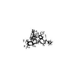 Cc1cc2c(cc1C(F)(F)F)N(Cc1nccs1)CCC[C@@H]2N(Cc1cc(C(F)(F)F)cc(C(F)(F)F)c1)c1nnn(CCN)n1